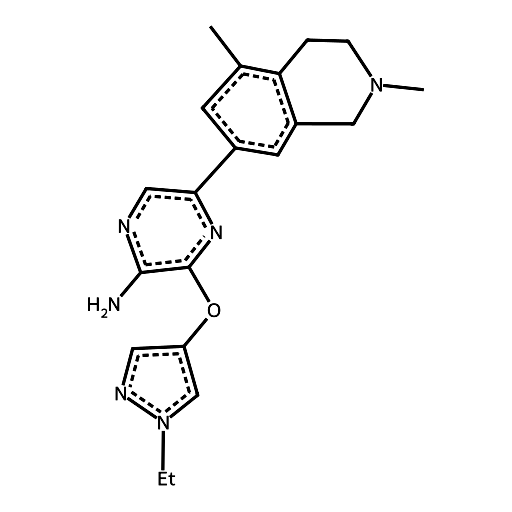 CCn1cc(Oc2nc(-c3cc(C)c4c(c3)CN(C)CC4)cnc2N)cn1